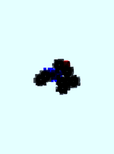 c1ccc2cc(C3=NC(c4cccc5oc6ccc(-c7cccc8ccccc78)cc6c45)NC(c4ccc5ccccc5c4)=N3)ccc2c1